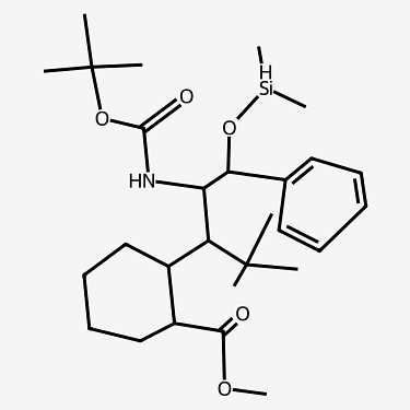 COC(=O)C1CCCCC1C(C(NC(=O)OC(C)(C)C)C(O[SiH](C)C)c1ccccc1)C(C)(C)C